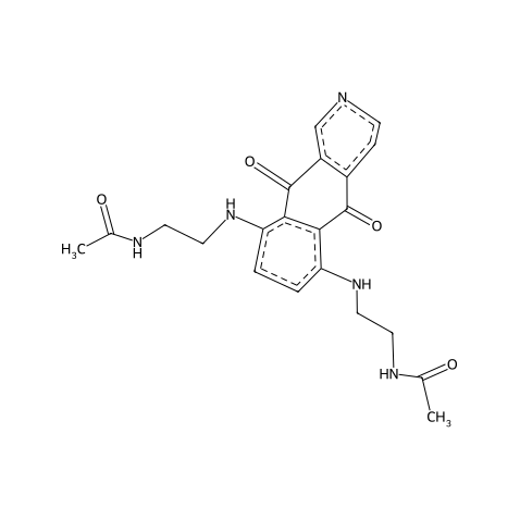 CC(=O)NCCNc1ccc(NCCNC(C)=O)c2c1C(=O)c1ccncc1C2=O